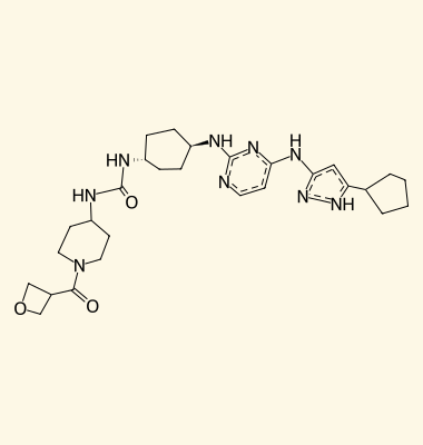 O=C(NC1CCN(C(=O)C2COC2)CC1)N[C@H]1CC[C@H](Nc2nccc(Nc3cc(C4CCCC4)[nH]n3)n2)CC1